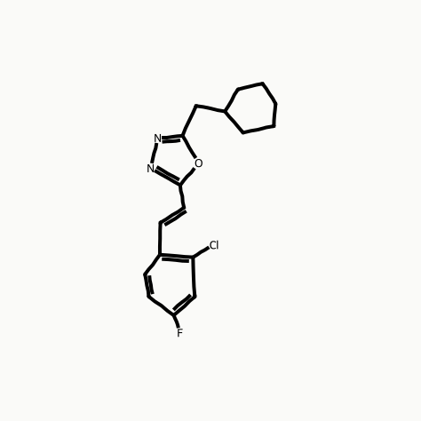 Fc1ccc(/C=C/c2nnc(CC3CCCCC3)o2)c(Cl)c1